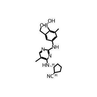 Cc1cnc(Nc2cc(C)c3c(c2)COB3O)nc1N[C@@H]1CCC[C@H]1C#N